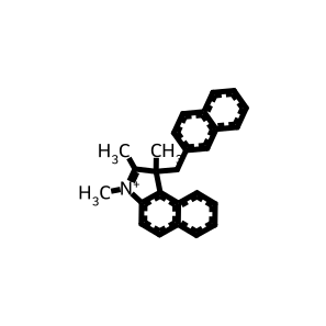 CC1=[N+](C)c2ccc3ccccc3c2C1(C)Cc1ccc2ccccc2c1